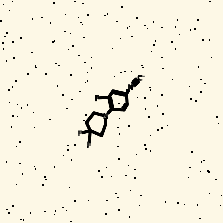 [C-]#[N+]c1ccc(N2CCC(F)(F)CC2)c(F)c1